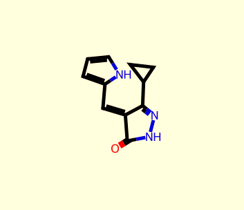 O=C1NN=C(C2CC2)C1=Cc1ccc[nH]1